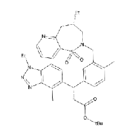 CC[C@H]1Cc2ncccc2S(=O)(=O)N(Cc2cc([C@H](CC(=O)OC(C)(C)C)c3ccc4c(nnn4CC)c3C)ccc2C)C1